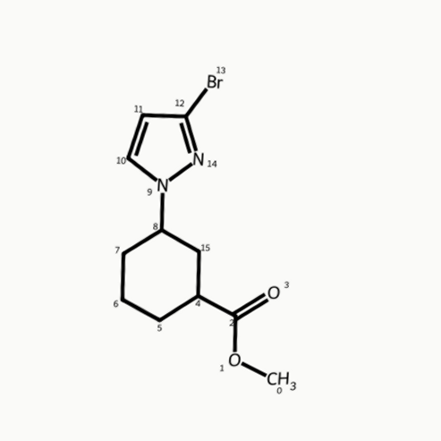 COC(=O)C1CCCC(n2ccc(Br)n2)C1